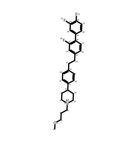 COCCC[SiH]1CCC(c2ccc(CCc3ccc(-c4ccc(F)c(F)c4)c(F)c3)cc2)CC1